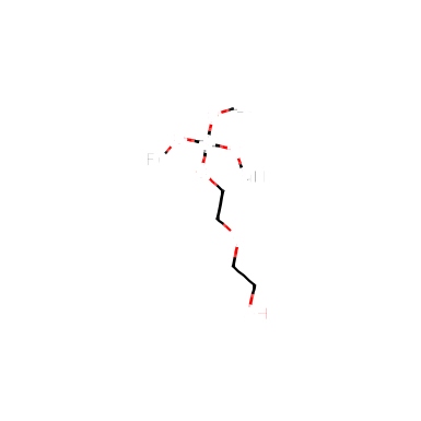 CCO[Si](O[SiH3])(OCC)OCCOCCO